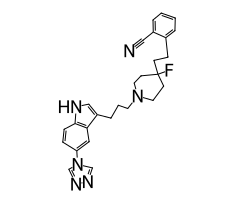 N#Cc1ccccc1CCC1(F)CCN(CCCc2c[nH]c3ccc(-n4cnnc4)cc23)CC1